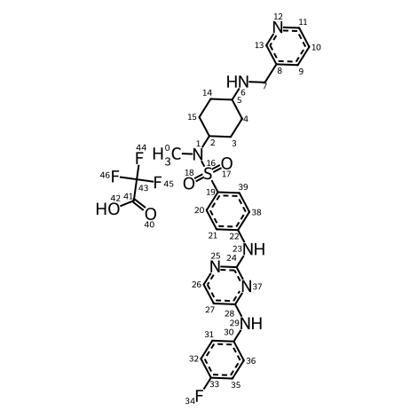 CN(C1CCC(NCc2cccnc2)CC1)S(=O)(=O)c1ccc(Nc2nccc(Nc3ccc(F)cc3)n2)cc1.O=C(O)C(F)(F)F